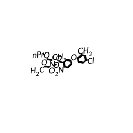 C=CCN(OC(=O)c1cc(Oc2ccc(Cl)cc2C)ccc1[N+](=O)[O-])C(C)C(=O)OCCC